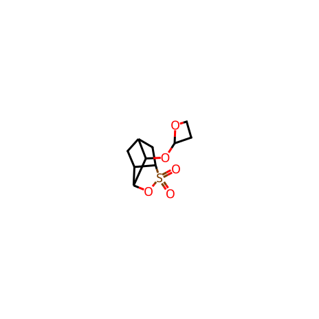 O=S1(=O)OC2C3CC(CC31)C2OC1CCO1